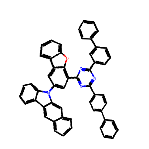 c1ccc(-c2ccc(-c3nc(-c4cccc(-c5ccccc5)c4)nc(-c4cc(-n5c6ccccc6c6cc7ccccc7cc65)cc5c4oc4ccccc45)n3)cc2)cc1